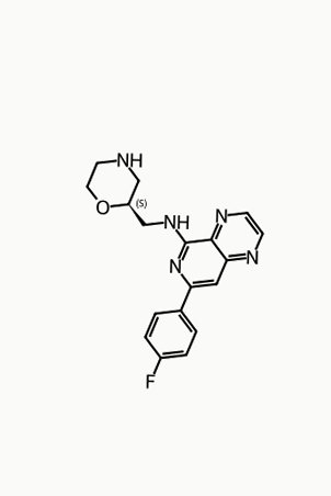 Fc1ccc(-c2cc3nccnc3c(NC[C@@H]3CNCCO3)n2)cc1